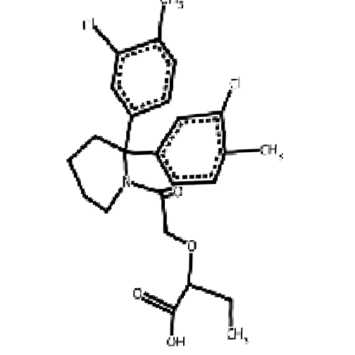 CCC(OCC(=O)N1CCCCC1(c1ccc(C)c(Cl)c1)c1ccc(C)c(Cl)c1)C(=O)O